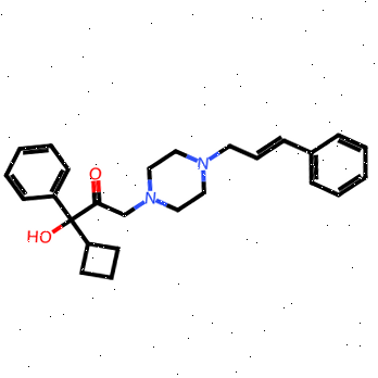 O=C(CN1CCN(CC=Cc2ccccc2)CC1)C(O)(c1ccccc1)C1CCC1